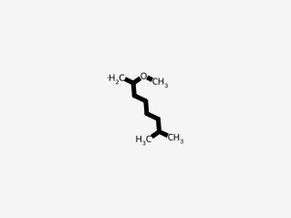 [CH2]C(CCCCC(C)C)OC